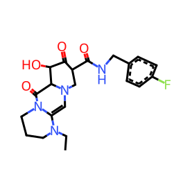 CCN1CCCN2C(=O)C3C(O)C(=O)C(C(=O)NCc4ccc(F)cc4)CN3C=C12